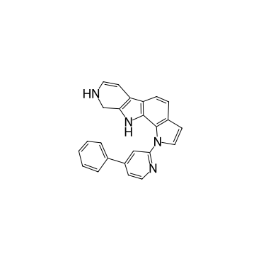 C1=Cc2c([nH]c3c2ccc2ccn(-c4cc(-c5ccccc5)ccn4)c23)CN1